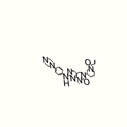 C=CC(=O)N1CCCC(N2Cc3cnc(Nc4ccc(N5CCN(C)CC5)cc4)nc3N(C)C2=O)C1